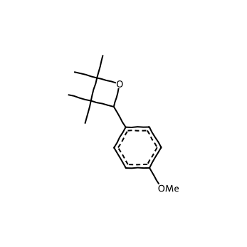 COc1ccc(C2OC(C)(C)C2(C)C)cc1